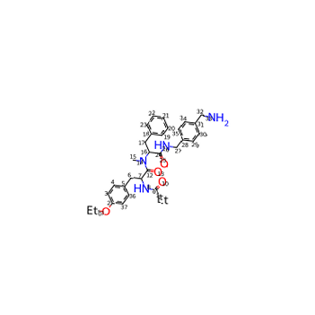 CCOc1ccc(CC(NC(=O)CC)C(=O)N(C)C(Cc2ccccc2)C(=O)NCc2ccc(CN)cc2)cc1